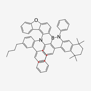 CCCCc1ccc(N2c3cc(-c4ccccc4)cc4c3B(c3ccc5oc6ccccc6c5c32)N(c2ccccc2)c2cc3c(cc2-4)C(C)(C)CCC3(C)C)c(-c2ccccc2)c1